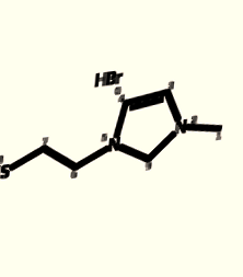 Br.CN1C=CN(CCS)C1